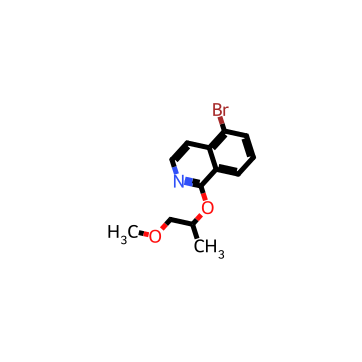 COCC(C)Oc1nccc2c(Br)cccc12